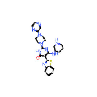 O=c1[nH]c(N2CCN(c3cnccn3)CC2)nc(NC2CCCNC2)c1-c1nc2ccccc2s1